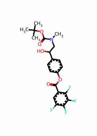 CN(CC(O)c1ccc(OC(=O)c2cc(F)c(F)c(F)c2F)cc1)C(=O)OC(C)(C)C